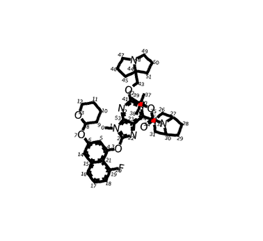 Cn1c(Oc2cc(OC3CCCCO3)cc3cccc(F)c23)nc2c(N3CC4CCC(C3)N4C(=O)OC(C)(C)C)nc(OCC34CCCN3CCC4)nc21